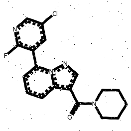 O=C(c1cnn2c(-c3cc(Cl)cnc3F)cccc12)N1CCCCC1